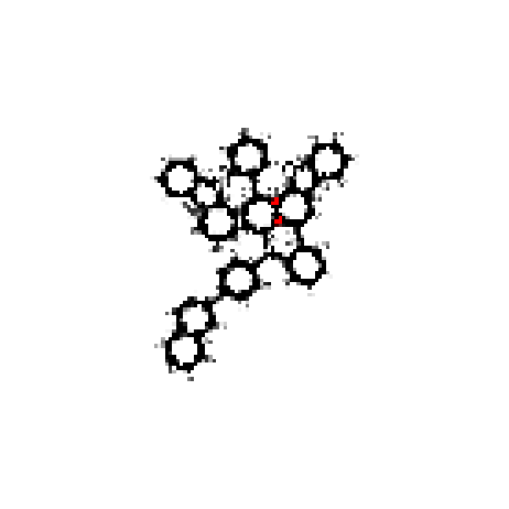 c1ccc(N(c2ccc(-c3ccc4ccccc4c3)cc2)c2ccc(-c3ccccc3-n3c4ccccc4c4ccccc43)cc2)c(-c2ccc3oc4ccccc4c3c2)c1